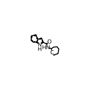 O=C(NC1CCCCCC1)c1cc2ccccc2[nH]1